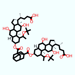 CC(OC(C)(C)C)C1C[C@@H](OC(=O)C23CC4CC(C2)CC(C(=O)O[C@@H]2CC(C(C)OC(C)(C)C)[C@]5(C)C6C[C@H](O)[C@@]7(C)C(CC[C@@H]7[C@H](C)CCC(=O)O)C6[C@H](O)C[C@@H]5C2)(C4)C3)C[C@H]2C[C@@H](O)C3C(C[C@H](O)[C@@]4(C)C3CC[C@@H]4[C@H](C)CCC(=O)O)[C@@]12C